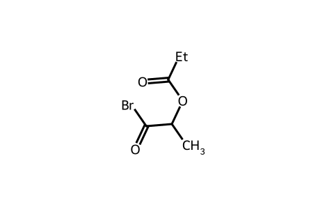 CCC(=O)OC(C)C(=O)Br